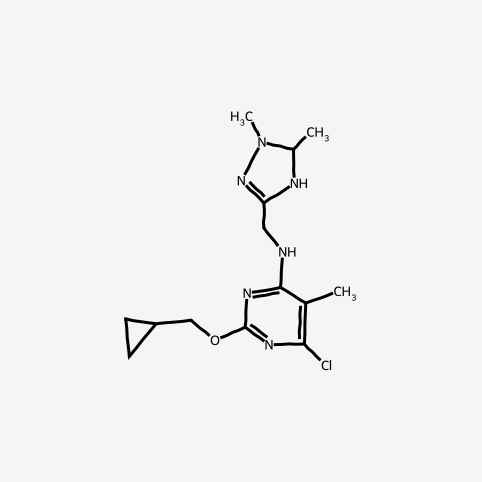 Cc1c(Cl)nc(OCC2CC2)nc1NCC1=NN(C)C(C)N1